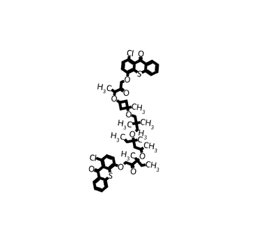 CCC(C)(CC(C)OC(C)(CC)C(=O)COc1ccc(Cl)c2c(=O)c3ccccc3sc12)OCC(C)(C)COC1(C)CC(OC(C)C(=O)COc2ccc(Cl)c3c(=O)c4ccccc4sc23)C1